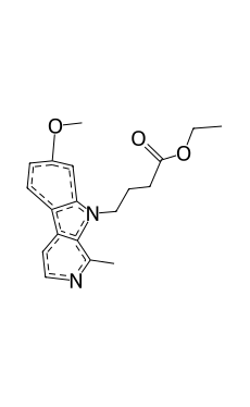 CCOC(=O)CCCn1c2cc(OC)ccc2c2ccnc(C)c21